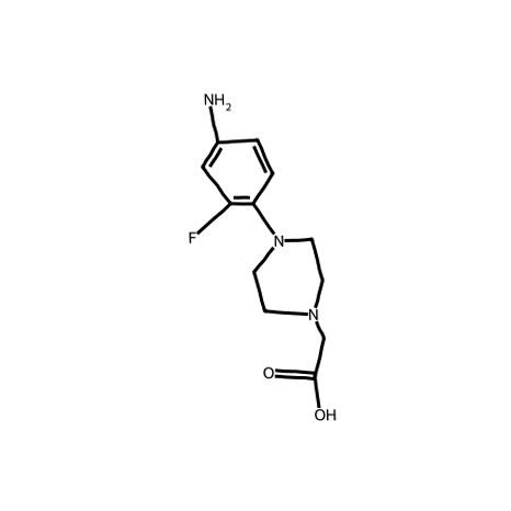 Nc1ccc(N2CCN(CC(=O)O)CC2)c(F)c1